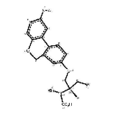 CC(=O)Nc1cc2c(cn1)OCc1cc(OC[C@](C)(CC(C)C)N(C(=O)O)C(C)(C)C)ccc1-2